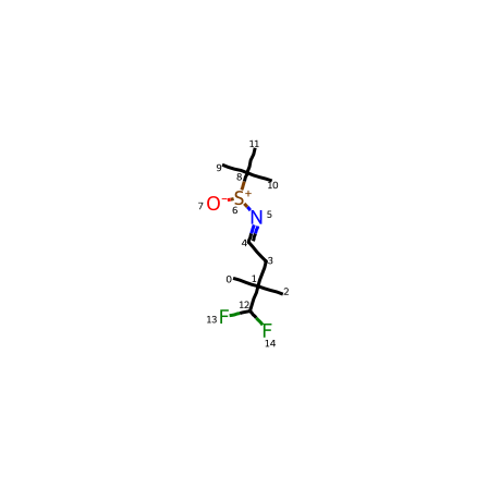 CC(C)(C/C=N/[S+]([O-])C(C)(C)C)C(F)F